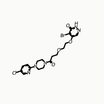 O=C(CCOCCOc1cn[nH]c(=O)c1Br)N1CCN(c2ccc(Cl)cn2)CC1